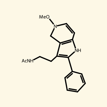 CON1C=Cc2[nH]c(-c3ccccc3)c(CCNC(C)=O)c2C1